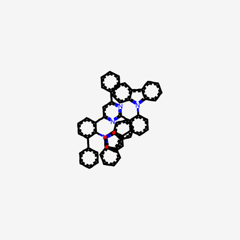 c1ccc(-c2cc(-c3cccc(-c4ccccc4)c3-n3c4ccccc4c4ccccc43)nc(-c3c(-c4ccccc4)cccc3-n3c4ccccc4c4ccccc43)n2)cc1